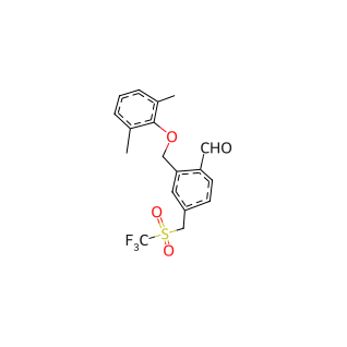 Cc1cccc(C)c1OCc1cc(CS(=O)(=O)C(F)(F)F)ccc1C=O